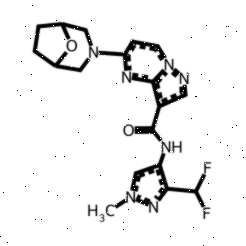 Cn1cc(NC(=O)c2cnn3ccc(N4CC5CCC(C4)O5)nc23)c(C(F)F)n1